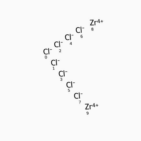 [Cl-].[Cl-].[Cl-].[Cl-].[Cl-].[Cl-].[Cl-].[Cl-].[Zr+4].[Zr+4]